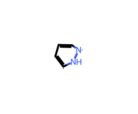 [C]1=CC=C[N]N1